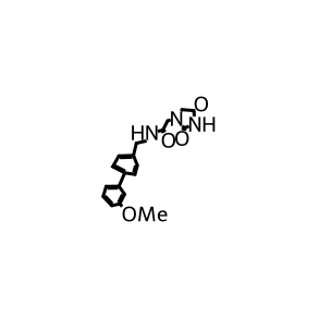 COc1cccc(-c2ccc(CCNC(=O)CN3CC(=O)NC3=O)cc2)c1